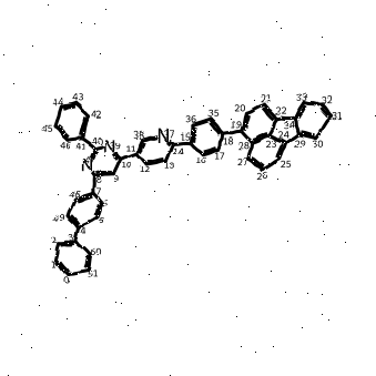 c1ccc(-c2ccc(-c3cc(-c4ccc(-c5ccc(-c6ccc7c8c(cccc68)-c6ccccc6-7)cc5)nc4)nc(-c4ccccc4)n3)cc2)cc1